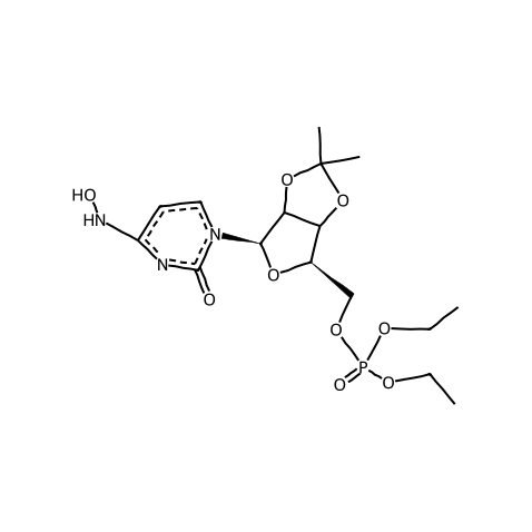 CCOP(=O)(OCC)OC[C@H]1O[C@@H](n2ccc(NO)nc2=O)C2OC(C)(C)OC21